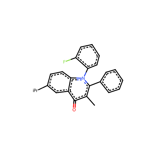 Cc1c(-c2ccccc2)n(-c2ccccc2F)c2ccc(C(C)C)cc2c1=O